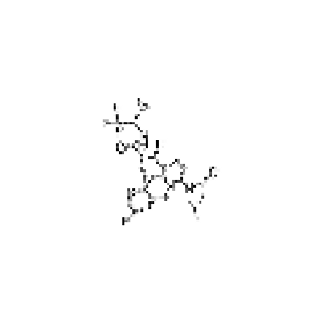 CC1CC(=O)N(c2ccc3c(=O)c(C(=O)N[C@H](C4CC4)C(F)(F)F)cn(-c4ncc(F)cc4F)c3n2)C1